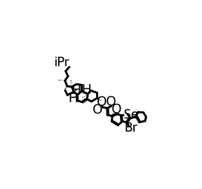 CC(C)CCC[C@@H](C)[C@H]1CC[C@H]2[C@@H]3CC=C4C[C@@H](OC(=O)c5cc6ccc7c(Br)c(C8=CCCCC8)[se]c7c6oc5=O)CC[C@]4(C)[C@H]3CC[C@]12C